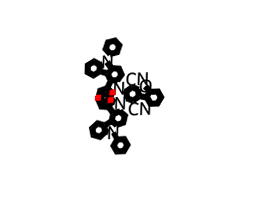 N#Cc1c(-n2c3ccccc3c3c4c5ccccc5n(-c5ccccc5)c4ccc32)c(-n2c3ccccc3c3c4c5ccccc5n(-c5ccccc5)c4ccc32)c(C#N)c2c1oc1ccccc12